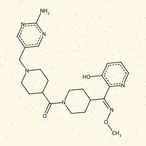 CON=C(c1ncccc1O)C1CCN(C(=O)C2CCN(Cc3cnc(N)nc3)CC2)CC1